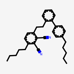 CCCCCc1ccc(-c2ccccc2CCc2ccc(CCCCC)c(C#N)c2C#N)cc1